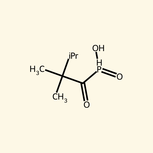 CC(C)C(C)(C)C(=O)[PH](=O)O